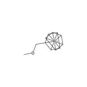 COC[C]12[CH]3[CH]4[CH]5[CH]1[Ru]45321678[CH]2[CH]1[CH]6[CH]7[CH]28